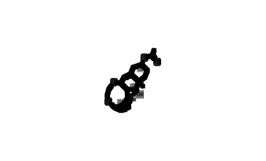 CC(=O)O[C@H]1CC[C@@]2(C)C(=CC3OCCOC4CCC5C3[C@@H]2CC[C@]45C)C1